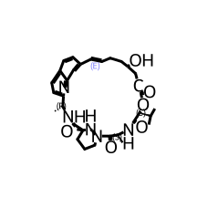 CC(C)[C@@H]1OC(=O)CCC(O)CC/C=C/c2ccc3ccc(nc3c2)[C@@H](C)NC(=O)C2(C)CCCN(N2)C(=O)[C@H](C)NC1=O